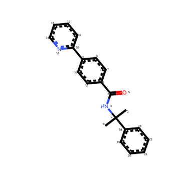 CC(C)(NC(=O)c1ccc(-c2ccccn2)cc1)c1ccccc1